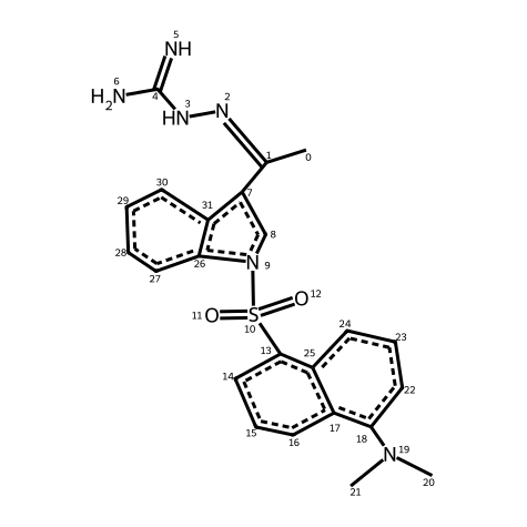 C/C(=N/NC(=N)N)c1cn(S(=O)(=O)c2cccc3c(N(C)C)cccc23)c2ccccc12